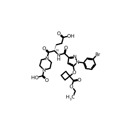 CCOC(=O)C1(Oc2cc(C(=O)N[C@@H](CCC(=O)O)C(=O)N3CCN(C(=O)O)CC3)nn2-c2cccc(Br)c2)CCC1